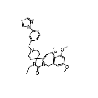 CCN1C(=O)N2Cc3cc(OC)cc(OC)c3[C@@H](C)C=C2C12CCN(Cc1cccc(-n3cncn3)c1)CC2